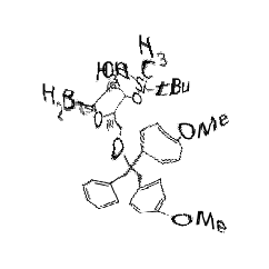 B[C@@H]1O[C@H](COC(c2ccccc2)(c2ccc(OC)cc2)c2ccc(OC)cc2)C(O[Si](C)(C)C(C)(C)C)[C@H]1O